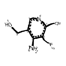 Nc1c(CO)cnc(Cl)c1F